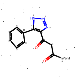 CCCCCC(=O)CC(=O)c1nn[nH]c1-c1ccccc1